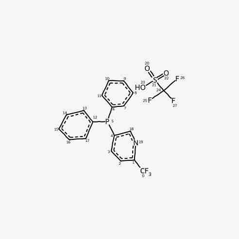 FC(F)(F)c1ccc(P(c2ccccc2)c2ccccc2)cn1.O=S(=O)(O)C(F)(F)F